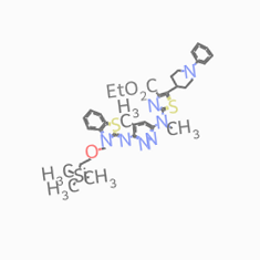 CCOC(=O)c1nc(N(C)c2cc(C)c(/N=c3\sc4ccccc4n3COCC[Si](C)(C)C)nn2)sc1C1CCN(c2ccccc2)CC1